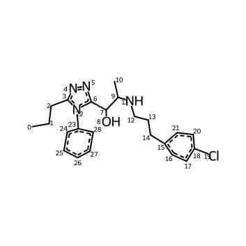 CCCc1nnc(C(O)C(C)NCCCc2ccc(Cl)cc2)n1-c1ccccc1